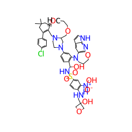 CC1(C)CC(c2ccc(Cl)cc2)=C2CN3CCN(c4ccc(C(O)NS(=O)(=O)c5ccc(NCC6(O)COC6)c([NH+]([O-])O)c5)c(N5CCCOc6nc7[nH]ccc7cc65)c4)CC3COCCCO[C@@H]2C1